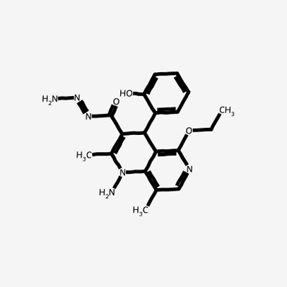 CCOc1ncc(C)c2c1C(c1ccccc1O)C(C(=O)N=NN)=C(C)N2N